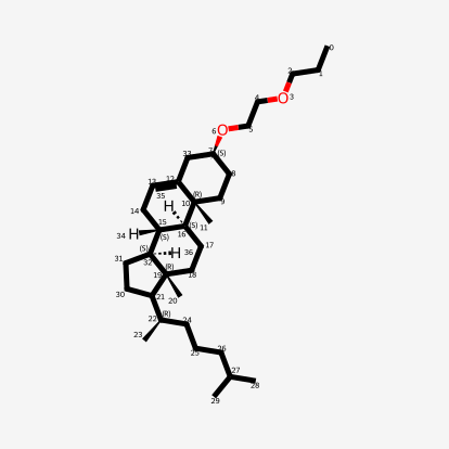 CCCOCCO[C@H]1CC[C@@]2(C)C(=CC[C@@H]3[C@@H]2CC[C@]2(C)C([C@H](C)CCCC(C)C)CC[C@@H]32)C1